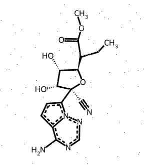 CCC(C(=O)OC)[C@H]1O[C@@](C#N)(c2ccc3c(N)ncnn23)[C@H](O)[C@@H]1O